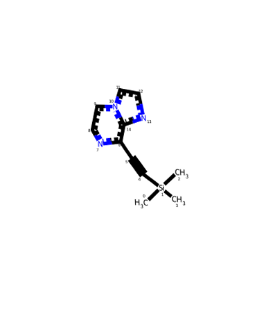 C[Si](C)(C)C#Cc1nccn2ccnc12